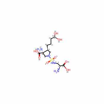 N[C@@H](CNS(=O)(=O)N1C[C@H](CCCB(O)O)[C@](N)(C(=O)O)C1)C(=O)O